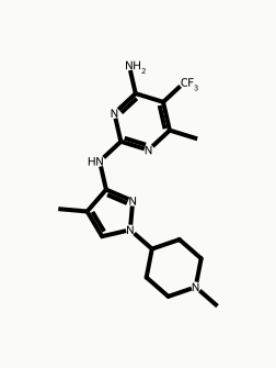 Cc1cn(C2CCN(C)CC2)nc1Nc1nc(C)c(C(F)(F)F)c(N)n1